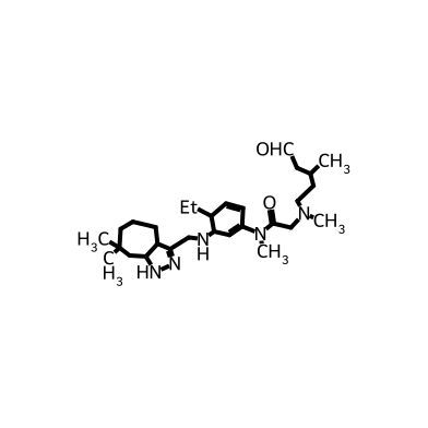 CCC1C=CC(N(C)C(=O)CN(C)CCC(C)CC=O)=CC1NCC1=NNC2CC(C)(C)CCCC12